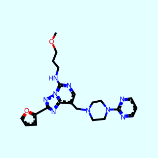 COCCCNc1ncc(CN2CCN(c3ncccn3)CC2)c2nc(-c3ccco3)nn12